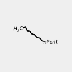 [CH2]CCCCCCCC=CC=CC=C